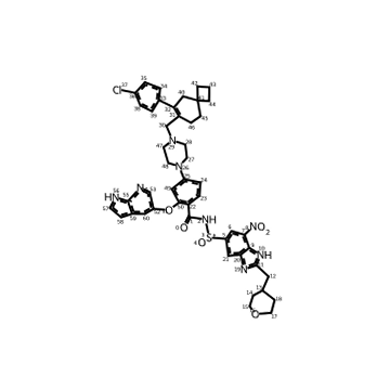 O=C(N[S+]([O-])c1cc([N+](=O)[O-])c2[nH]c(CC3CCOCC3)nc2c1)c1ccc(N2CCN(CC3=C(c4ccc(Cl)cc4)CC4(CCC4)CC3)CC2)cc1Oc1cnc2[nH]ccc2c1